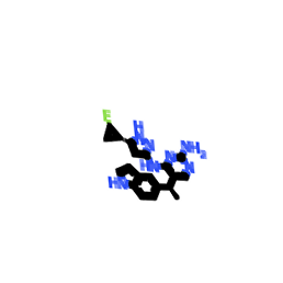 C[C@@H](c1ccc2[nH]ccc2c1)c1cnc(N)nc1Nc1cc([C@@H]2C[C@H]2F)[nH]n1